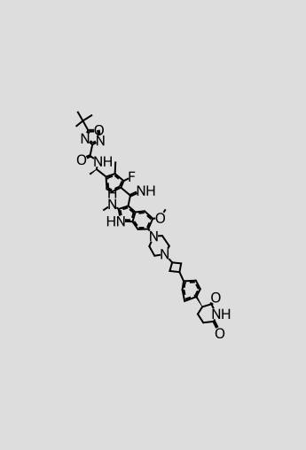 CNc1[nH]c2cc(N3CCN(C4CC(c5ccc([C@@H]6CCC(=O)NC6=O)cc5)C4)CC3)c(OC)cc2c1C(=N)c1ccc([C@@H](C)NC(=O)c2noc(C(C)(C)C)n2)c(C)c1F